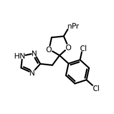 CCCC1COC(Cc2nc[nH]n2)(c2ccc(Cl)cc2Cl)O1